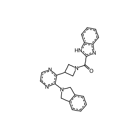 O=C(c1nc2ccccc2[nH]1)N1CC(c2nccnc2N2Cc3ccccc3C2)C1